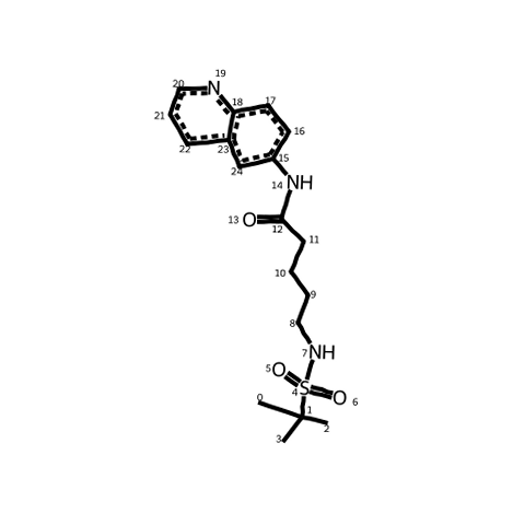 CC(C)(C)S(=O)(=O)NCCCCC(=O)Nc1ccc2ncccc2c1